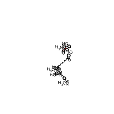 Cc1ncsc1-c1ccc(CNC(=O)[C@@H]2C[C@@H](O)CN2C(=O)[C@@H](NC(=O)CCCCCCCCCC(=O)N2CCN(C(=O)c3cccc(CN4C5CCC4CN(c4cc(-c6ccccc6O)nnc4N)C5)c3)CC2)C(C)(C)C)cc1